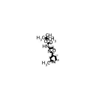 Cc1cc(-c2nc(NC(=O)OC(C)(C)C)co2)ccn1